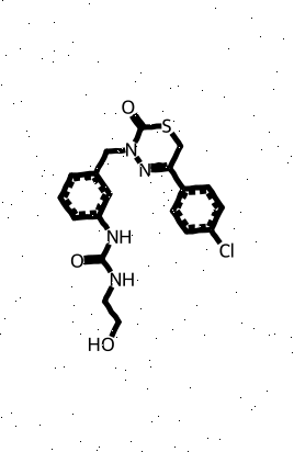 O=C(NCCO)Nc1cccc(CN2N=C(c3ccc(Cl)cc3)CSC2=O)c1